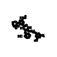 CCNc1cc(C(=O)N[C@@H](Cc2ccccc2)[C@H](O)CNCCc2cc(OC)cc(OC)c2)cc(N2CCCCS2(=O)=O)c1.Cl